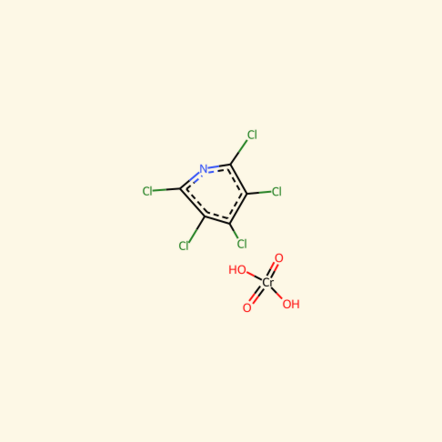 Clc1nc(Cl)c(Cl)c(Cl)c1Cl.[O]=[Cr](=[O])([OH])[OH]